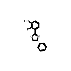 Oc1cccc(C2=N[C@H](c3ccccc3)CO2)c1F